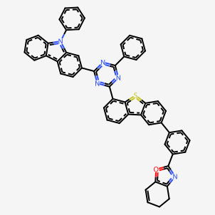 C1=Cc2oc(-c3cccc(-c4ccc5sc6c(-c7nc(-c8ccccc8)nc(-c8ccc9c%10ccccc%10n(-c%10ccccc%10)c9c8)n7)cccc6c5c4)c3)nc2CC1